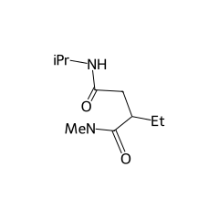 CCC(CC(=O)NC(C)C)C(=O)NC